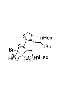 CCCCCCC(CCCC)CC1=C(c2sccc2CC(CCCC)CCCCCC)SC(Br)(Br)C1(C(=O)O)C(=O)O